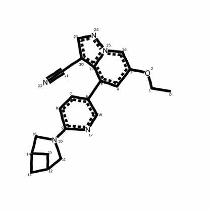 CCOc1cc(-c2ccc(N3CC4CC(C4)C3)nc2)c2c(C#N)cnn2c1